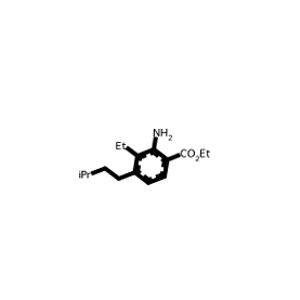 CCOC(=O)c1ccc(CCC(C)C)c(CC)c1N